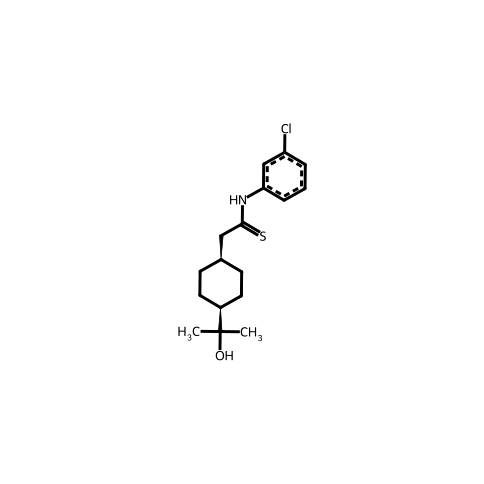 CC(C)(O)[C@H]1CC[C@@H](CC(=S)Nc2cccc(Cl)c2)CC1